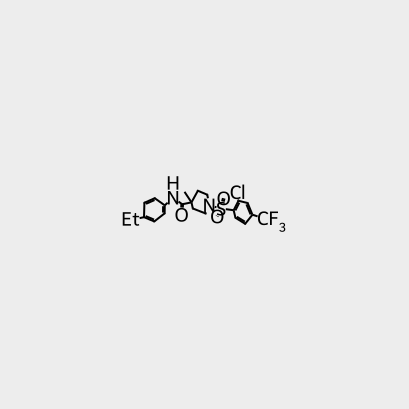 CCc1ccc(NC(=O)C2(C)CCN(S(=O)(=O)c3ccc(C(F)(F)F)cc3Cl)CC2)cc1